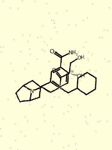 NC(=O)c1cccc(C2CC3CCC(C2)N3CCN(CC2CCCCC2)C(=O)[C@@H](O)CO)c1